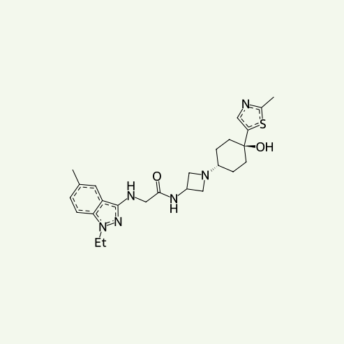 CCn1nc(NCC(=O)NC2CN([C@H]3CC[C@@](O)(c4cnc(C)s4)CC3)C2)c2cc(C)ccc21